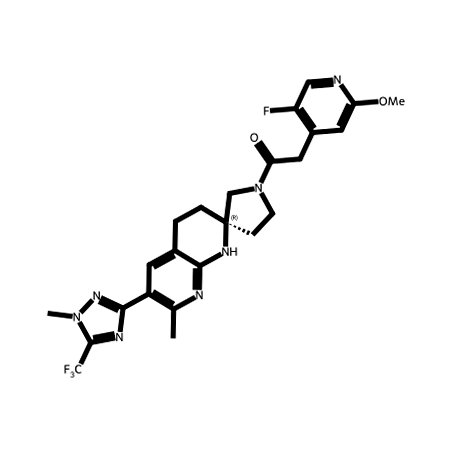 COc1cc(CC(=O)N2CC[C@]3(CCc4cc(-c5nc(C(F)(F)F)n(C)n5)c(C)nc4N3)C2)c(F)cn1